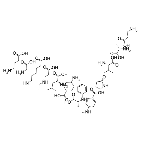 CC(C)C[C@H](N)C(=O)O.CC(C)[C@H](N)C(=O)O.CCNCCC(=O)O.CNCCCCCC(=O)O.CNc1ccc(C(=O)O)cc1.C[C@H](N)C(=O)O.C[C@H](Nc1ccccc1)C(=O)O.NC1CCC(C(=O)O)CC1.NCC(=O)O.NCCC(=O)O.NCCCC(=O)O.O=C1CCCN1